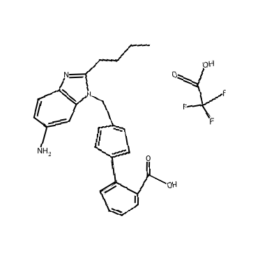 CCCCc1nc2ccc(N)cc2n1Cc1ccc(-c2ccccc2C(=O)O)cc1.O=C(O)C(F)(F)F